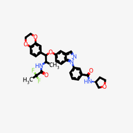 CC(NC(=O)C(C)(F)F)C(Oc1ccc2c(cnn2-c2cccc(C(=O)N[C@H]3CCOC3)c2)c1)c1ccc2c(c1)OCCO2